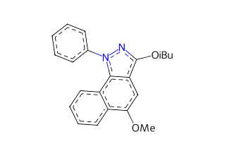 COc1cc2c(OCC(C)C)nn(-c3ccccc3)c2c2ccccc12